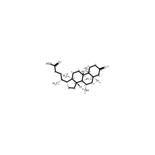 C[C@H](CCC(=O)O)[C@H]1CC[C@H]2[C@@H]3[C@@H](O)C[C@@H]4CC(=O)CC[C@]4(C)[C@H]3CC[C@]12C